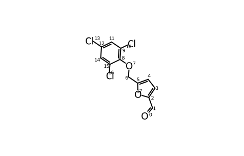 O=Cc1ccc(COc2c(Cl)cc(Cl)cc2Cl)o1